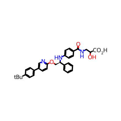 CC(C)(C)c1ccc(-c2ccc(OC[C@@H](Nc3ccc(C(=O)NCC(O)C(=O)O)cc3)c3ccccc3)nc2)cc1